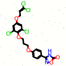 O=c1[nH]c(-c2ccc(OCCCOc3c(Cl)cc(OCC=C(Cl)Cl)cc3Cl)cc2)no1